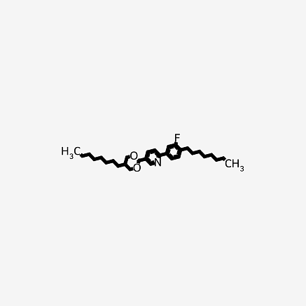 CCCCCCCCc1ccc(-c2ccc(C3OCC(CCCCCCCC)CO3)cn2)cc1F